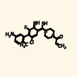 C=CC(=O)N1CCN(/C(S)=C2\C=C(Cl)C(c3cc(N)ccc3C)=C(F)C2=N)CC1